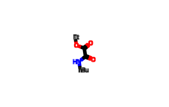 CCCCNC(=O)C(=O)OCC